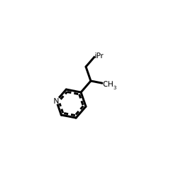 CC(C)CC(C)c1cccnc1